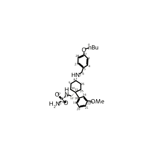 CCCCOc1ccc(CN[C@H]2CC[C@](CNS(N)(=O)=O)(c3cccc(OC)c3)CC2)cc1